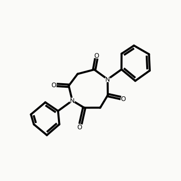 O=C1CC(=O)N(c2ccccc2)C(=O)CC(=O)N1c1ccccc1